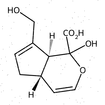 O=C(O)C1(O)OC=C[C@@H]2CC=C(CO)[C@H]21